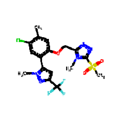 Cc1cc(OCc2nnc(S(C)(=O)=O)n2C)c(-c2cc(C(F)(F)F)nn2C)cc1Cl